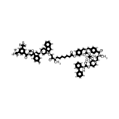 CN(CCCCCCC(=O)Oc1ccc(CN(Cc2ccc(C(=O)N(C)CCN3CCC(OC(=O)Nc4ccccc4-c4ccccc4)CC3)cc2)C(=O)OC(C)(C)C)cc1)C(=O)CO[C@H]1Cc2ccccc2C12CCN(CC[C@@]1(c3ccc(F)cc3)CN(C(=O)c3cc(C(F)(F)F)cc(C(F)(F)F)c3)CO1)CC2